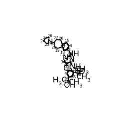 CC(C)(O)c1ccc(Nc2nc(Nc3ccc4c(c3)CCC(N3CCCC3)CC4)ncc2Cl)c(P(C)(C)=O)c1